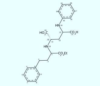 CCOC(=O)C(CCc1ccccc1)N[C@@H](CC(Nc1ccccc1)C(=O)O)C(=O)O